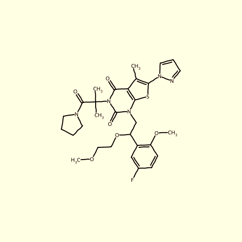 COCCOC(Cn1c(=O)n(C(C)(C)C(=O)N2CCCC2)c(=O)c2c(C)c(-n3cccn3)sc21)c1cc(F)ccc1OC